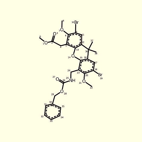 COC(=O)Cc1c(OC)c(Br)cc2c1Oc1c(cc(Br)c(OC)c1CNC(=O)OCc1ccccc1)C2(C)C